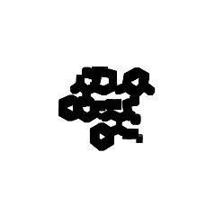 Cc1cccc(C)c1OCC(=O)[C@@H](C(N)c1ccccc1)[C@H](O)C[C@H](Cc1ccccc1)NC(=O)C(C(C)C)N1CCCNC1=O